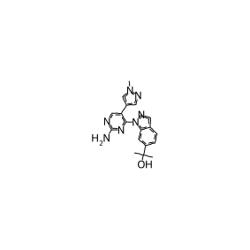 Cn1cc(-c2cnc(N)nc2-n2ncc3ccc(C(C)(C)O)cc32)cn1